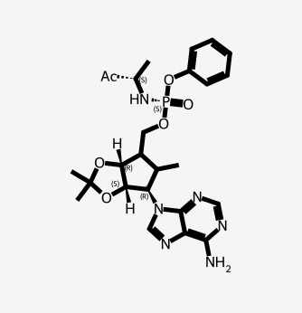 CC(=O)[C@H](C)N[P@](=O)(OCC1C(C)[C@@H](n2cnc3c(N)ncnc32)[C@@H]2OC(C)(C)O[C@H]12)Oc1ccccc1